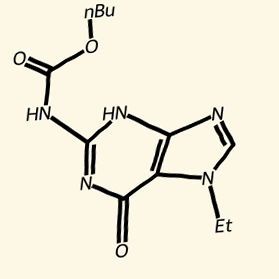 CCCCOC(=O)Nc1nc(=O)c2c(ncn2CC)[nH]1